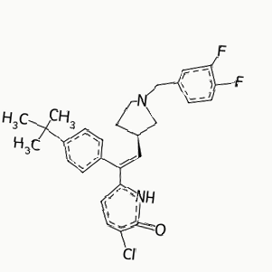 CC(C)(C)c1ccc(/C(=C\[C@H]2CCN(Cc3ccc(F)c(F)c3)C2)c2ccc(Cl)c(=O)[nH]2)cc1